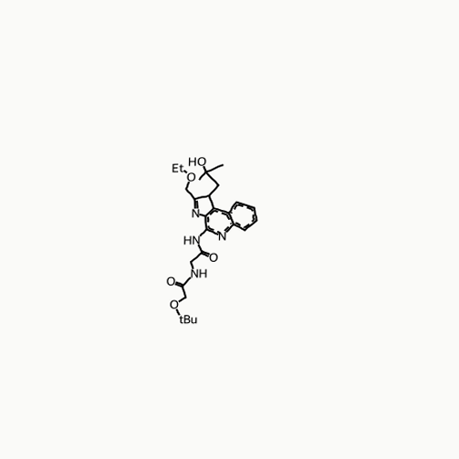 CCOCC1=Nc2c(NC(=O)CNC(=O)COC(C)(C)C)nc3ccccc3c2C1CC(C)(C)O